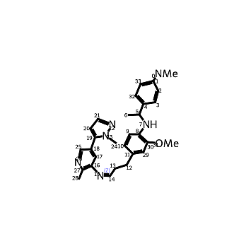 CNc1ccc(C(C)Nc2ccc(CC/C=N\c3cc(-c4ccnn4C)cnc3C)cc2OC)cc1